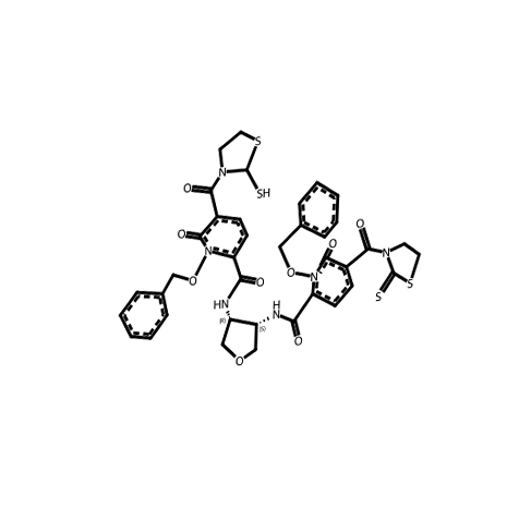 O=C(N[C@@H]1COC[C@@H]1NC(=O)c1ccc(C(=O)N2CCSC2S)c(=O)n1OCc1ccccc1)c1ccc(C(=O)N2CCSC2=S)c(=O)n1OCc1ccccc1